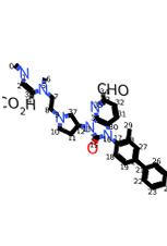 C=N/C=C(/C(=O)O)N(C)CCN1CCC(n2c(=O)n(-c3ccc(-c4ccccc4)cc3C)c3ccc(C=O)nc32)C1